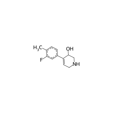 Cc1ccc(C2=CCNCC2O)cc1F